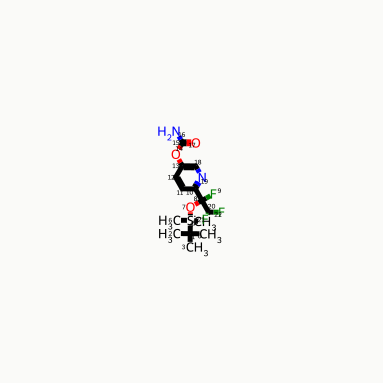 CC(C)(C)[Si](C)(C)OC(F)(c1ccc(OC(N)=O)cn1)C(F)F